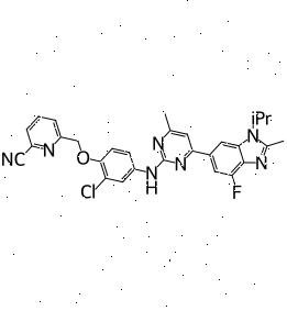 Cc1cc(-c2cc(F)c3nc(C)n(C(C)C)c3c2)nc(Nc2ccc(OCc3cccc(C#N)n3)c(Cl)c2)n1